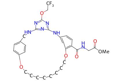 COC(=O)CNC(=O)c1ccc2cc1OCCCCCCCCOc1ccc(cc1)CNc1nc(nc(OCC(F)(F)F)n1)N2